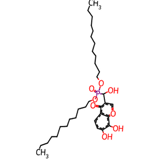 CCCCCCCCCCCCOP(=O)(OCCCCCCCCCCCC)C(O)c1coc2c(O)c(O)ccc2c1=O